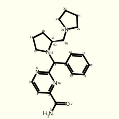 NC(=O)c1ccnc(C(c2ccccc2)N2CCC[C@H]2CN2CCCC2)n1